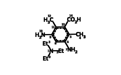 CCN(CC)CC.Cc1c(N)cc(N)c(C)c1C(=O)O